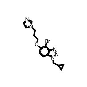 Brc1c(OCCCn2ccnc2)ccc2c1nnn2CC1CC1